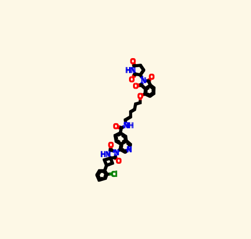 O=C1CCC(N2C(=O)c3cccc(OCCCCCCNC(=O)c4ccc5c(N6C(=O)NC7(CC(c8ccccc8Cl)C7)C6=O)cncc5c4)c3C2=O)C(=O)N1